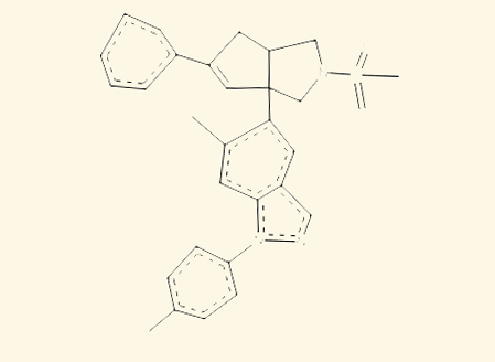 Cc1cc2c(cnn2-c2ccc(F)cc2)cc1C12C=C(c3ccccc3)CC1CN(S(C)(=O)=O)C2